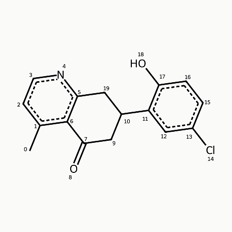 Cc1ccnc2c1C(=O)CC(c1cc(Cl)ccc1O)C2